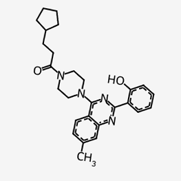 Cc1ccc2c(N3CCN(C(=O)CCC4CCCC4)CC3)nc(-c3ccccc3O)nc2c1